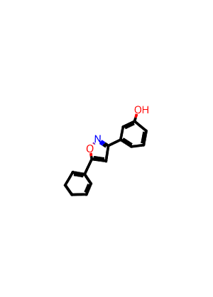 Oc1cccc(-c2cc(C3=CCCC=C3)on2)c1